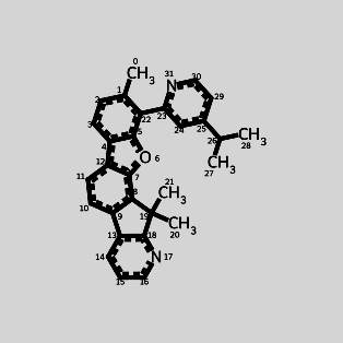 Cc1ccc2c(oc3c4c(ccc32)-c2cccnc2C4(C)C)c1-c1cc(C(C)C)ccn1